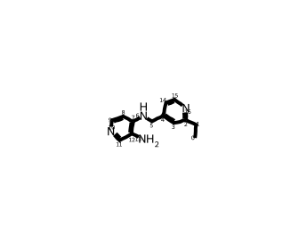 CCc1cc(CNc2ccncc2N)ccn1